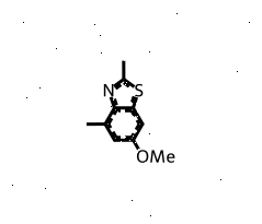 COc1cc(C)c2nc(C)sc2c1